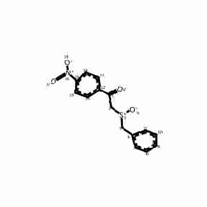 O=C(C[S+]([O-])Cc1ccccc1)c1ccc([N+](=O)[O-])cc1